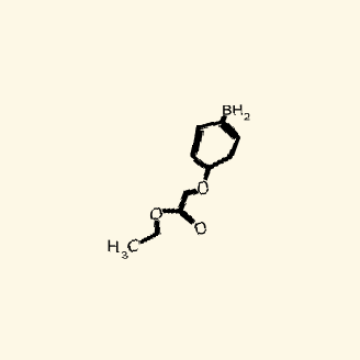 BC1=CCC(OCC(=O)OCC)C=C1